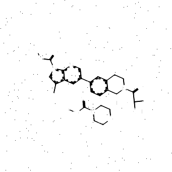 Cc1cn(C(=O)OC(C)(C)C)c2ncc(-c3cc4c(c([C@@H]5COCCN5C(=O)OC(C)(C)C)c3)CN(C(=O)[C@@](C)(O)C(F)(F)F)CC4)cc12